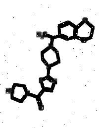 CC(c1ccc2c(c1)OCCO2)N1CCN(c2ncc(C(=O)N3CCNCC3)s2)CC1